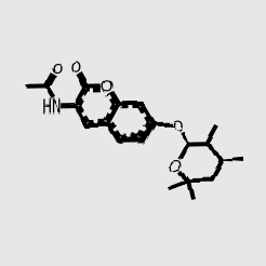 CC(=O)Nc1cc2ccc(O[C@@H]3OC(C)(C)C[C@H](C)C3C)cc2oc1=O